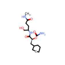 CNC(=O)CCC(CO)NC(=O)[C@H](CC1CCCCC1)OC(N)=O